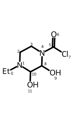 CCN1CCN(C(=O)Cl)C(O)C1O